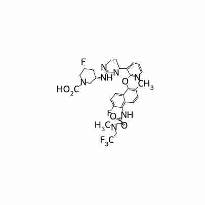 Cc1ccc2c(NS(=O)(=O)N(C)CC(F)(F)F)c(F)ccc2c1Oc1ncccc1-c1ccnc(N[C@@H]2C[C@@H](F)CN(C(=O)O)C2)n1